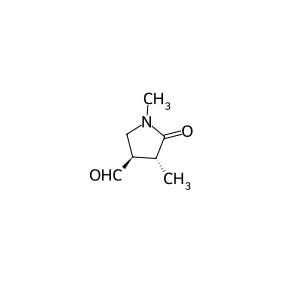 C[C@H]1C(=O)N(C)C[C@@H]1C=O